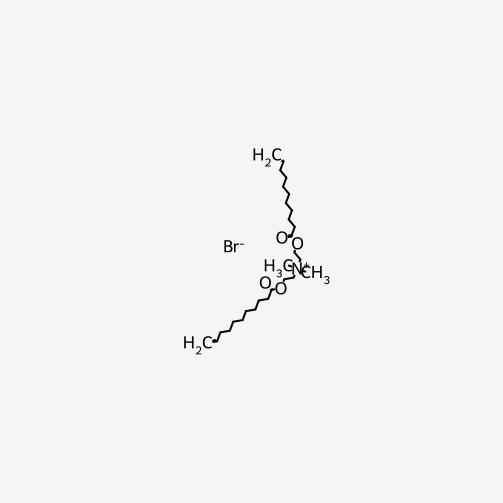 C=CCCCCCCCCC(=O)OCC[N+](C)(C)CCOC(=O)CCCCCCCCC=C.[Br-]